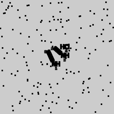 C=N.C=N.Cl